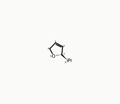 [CH2][C@H](C)[C@H]1C=CCO1